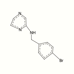 Brc1ccc(CNc2cnccn2)cc1